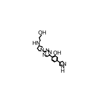 OCCCNC1CCN(c2ncc(-c3ccc(-c4cn[nH]c4)cc3O)nn2)C1